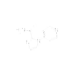 NC(=O)c1nccn1-c1ccncc1